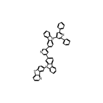 c1ccc(-c2cc(-n3c4ccccc4c4cc(-c5cncc(-c6ccc7c8ccccc8n(-c8ccc9sc%10cccnc%10c9c8)c7c6)c5)ccc43)cc(-c3ccccc3)n2)cc1